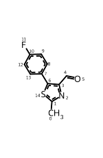 Cc1nc(C=O)c(-c2ccc(F)cc2)s1